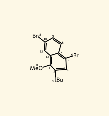 COc1c(C(C)(C)C)cc(Br)c2ccc(Br)cc12